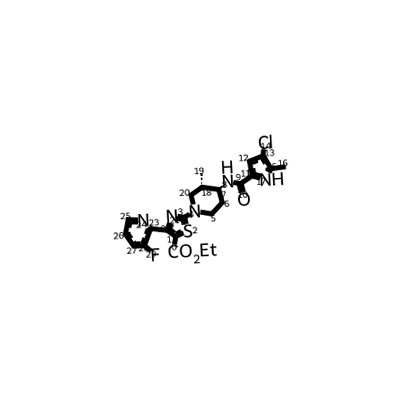 CCOC(=O)c1sc(N2CC[C@@H](NC(=O)c3cc(Cl)c(C)[nH]3)[C@@H](C)C2)nc1-c1ncccc1F